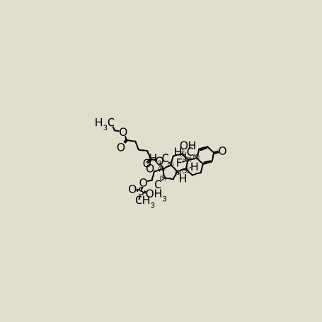 CCOC(=O)CCCC(=O)O[C@]1(C(=O)COS(C)(=O)=O)[C@@H](C)C[C@H]2[C@@H]3CCC4=CC(=O)C=C[C@]4(C)[C@@]3(F)[C@@H](O)C[C@@]21C